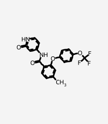 Cc1ccc(C(=O)Nc2cc[nH]c(=O)c2)c(Oc2ccc(OC(F)(F)F)cc2)c1